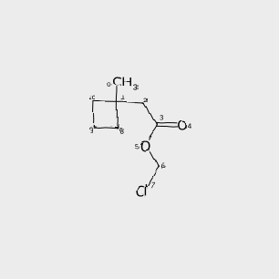 CC1(CC(=O)OCCl)CCC1